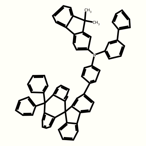 CC1(C)c2ccccc2-c2ccc(N(c3ccc(-c4ccc5c(c4)C4(c6ccccc6-5)c5ccccc5C(c5ccccc5)(c5ccccc5)c5ccccc54)cc3)c3cccc(-c4ccccc4)c3)cc21